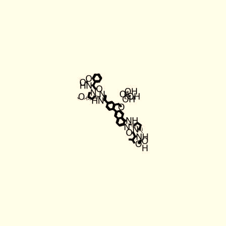 COC[C@H]1C[C@@H](c2ncc(-c3ccc4c(c3)COc3cc5c(ccc6nc([C@@H]7CC[C@H](C)N7C(=O)C(NC(=O)O)C(C)C)[nH]c65)cc3-4)[nH]2)N(C(=O)C(NC(=O)OC)c2ccccc2)C1.O=P(O)(O)O